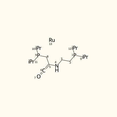 CC(C)P(CCNC(=C=O)CP(C(C)C)C(C)C)C(C)C.[Ru]